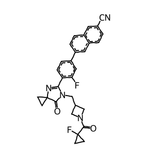 N#Cc1ccc2cc(-c3ccc(C4=NC5(CC5)C(=O)N4CC4CN(C(=O)C5(F)CC5)C4)c(F)c3)ccc2c1